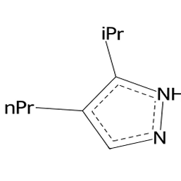 CCCc1cn[nH]c1C(C)C